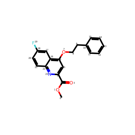 COC(=O)c1cc(OCCc2ccccc2)c2cc(F)ccc2n1